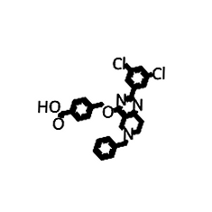 O=C(O)c1ccc(COc2nc(-c3cc(Cl)cc(Cl)c3)nc3c2CN(Cc2ccccc2)CC3)cc1